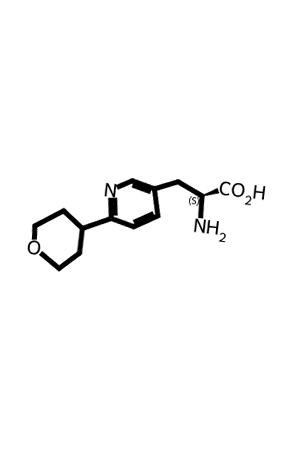 N[C@@H](Cc1ccc(C2CCOCC2)nc1)C(=O)O